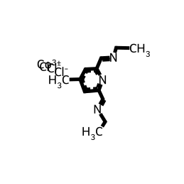 CCN=Cc1cc(C)cc(C=NCC)n1.[Cl-].[Cl-].[Cl-].[Co+3]